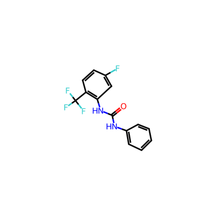 O=C(Nc1ccccc1)Nc1cc(F)ccc1C(F)(F)F